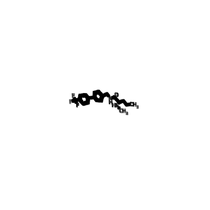 CCCC(NC)C(=O)NCc1ccc(-c2ccc(C(F)(F)F)cc2)cc1